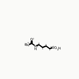 CCC(C)C(=O)NCCCCS(=O)(=O)O